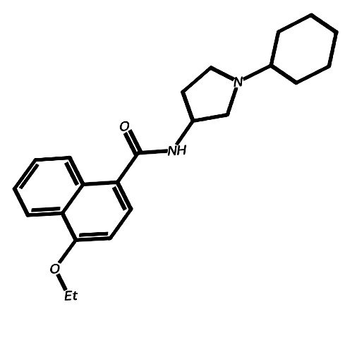 CCOc1ccc(C(=O)NC2CCN(C3CCCCC3)C2)c2ccccc12